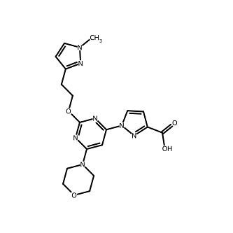 Cn1ccc(CCOc2nc(N3CCOCC3)cc(-n3ccc(C(=O)O)n3)n2)n1